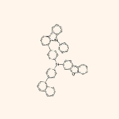 c1ccc(-n2c3ccccc3c3cccc(-c4ccc(N(c5ccc(-c6cccc7ccccc67)cc5)c5ccc6c(c5)oc5ccccc56)cc4)c32)cc1